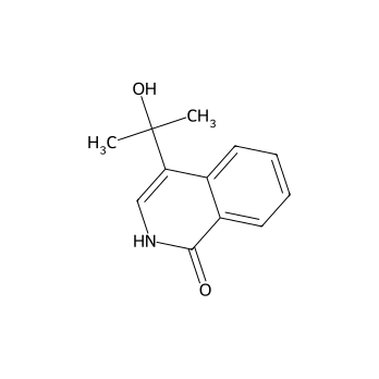 CC(C)(O)c1c[nH]c(=O)c2ccccc12